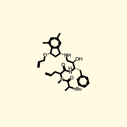 C=CCO[C@H]1C[C@@H](NC[C@@H](O)[C@H](Cc2ccccc2)NC(=O)C(CC=C)N(C)C(=O)C(C)CCCC)c2cc(C)cc(C)c21